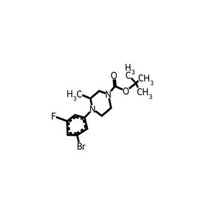 CC1CN(C(=O)OC(C)(C)C)CCN1c1cc(F)cc(Br)c1